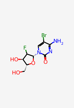 Nc1nc(=O)n([C@@H]2O[C@H](CO)[C@@H](O)C2F)cc1Br